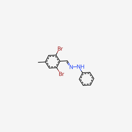 Cc1cc(Br)c(C=NNc2ccccc2)c(Br)c1